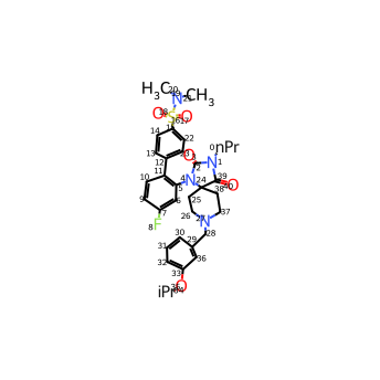 CCCN1C(=O)N(c2cc(F)ccc2-c2ccc(S(=O)(=O)N(C)C)cc2)C2(CCN(Cc3cccc(OC(C)C)c3)CC2)C1=O